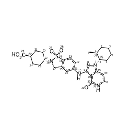 C[C@H]1CCCC[C@@H]1n1nc(Nc2ccc3c(c2)CN([C@H]2CC[C@H](C(=O)O)CC2)S3(=O)=O)c2c(=O)[nH]ccc21